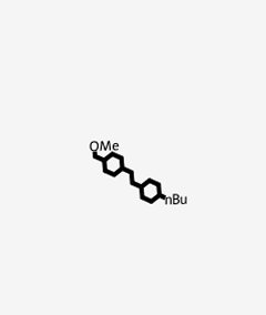 CCCCC1CCC(CCC2CCC(COC)CC2)CC1